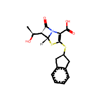 C[C@H](O)[C@@H]1C(=O)N2C(C(=O)O)=C(SC3Cc4ccccc4C3)S[C@H]12